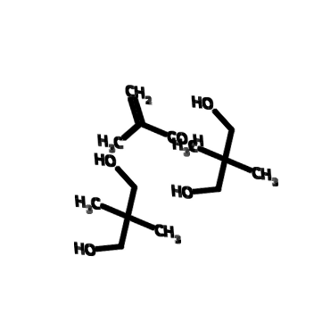 C=C(C)C(=O)O.CC(C)(CO)CO.CC(C)(CO)CO